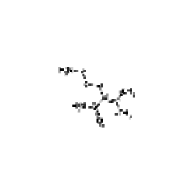 CC(C)=C(CCCN)C(N)=O